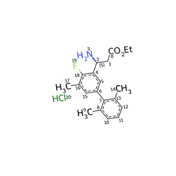 CCOC(=O)C[C@H](N)c1cc(-c2c(C)cccc2C)cc(C)c1F.Cl